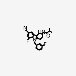 CC(C)C(=O)NC1CCc2c(c3cc(C#N)cc(F)c3n2Cc2cccc(F)c2)C1